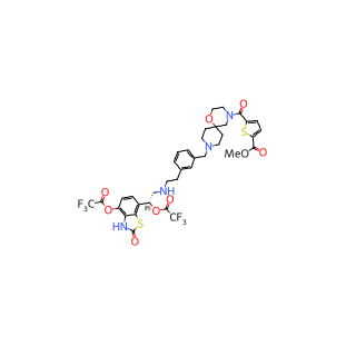 COC(=O)c1ccc(C(=O)N2CCOC3(CCN(Cc4cccc(CCNC[C@H](OC(=O)C(F)(F)F)c5ccc(OC(=O)C(F)(F)F)c6[nH]c(=O)sc56)c4)CC3)C2)s1